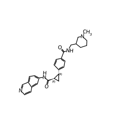 CN1CCCC(CNC(=O)c2ccc([C@@H]3C[C@H]3C(=O)Nc3ccc4cnccc4c3)cc2)C1